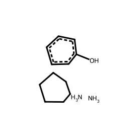 C1CCCCC1.N.N.Oc1ccccc1